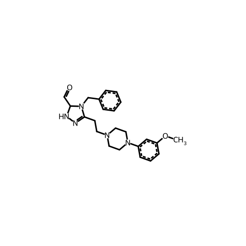 COc1cccc(N2CCN(CCC3=NNC(C=O)N3Cc3ccccc3)CC2)c1